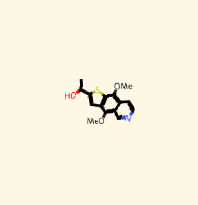 COc1c2cnccc2c(OC)c2sc(C(C)O)cc12